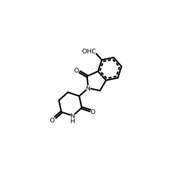 O=[C]c1cccc2c1C(=O)N(C1CCC(=O)NC1=O)C2